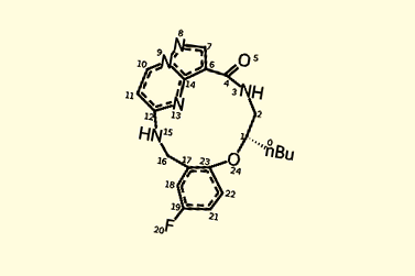 CCCC[C@H]1CNC(=O)c2cnn3ccc(nc23)NCc2cc(F)ccc2O1